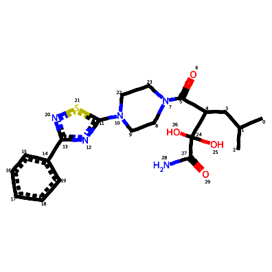 CC(C)CC(C(=O)N1CCN(c2nc(-c3ccccc3)ns2)CC1)C(O)(O)C(N)=O